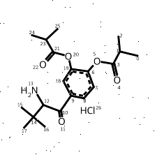 CC(C)C(=O)Oc1ccc(C(=O)C(N)C(C)(C)C)cc1OC(=O)C(C)C.Cl